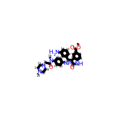 COC(=O)c1ccc2c(c1)/C(=C(/Nc1ccc(N(C)C(=O)CN3CCN(C)CC3)cc1)c1cccc(N)c1)C(=O)N2